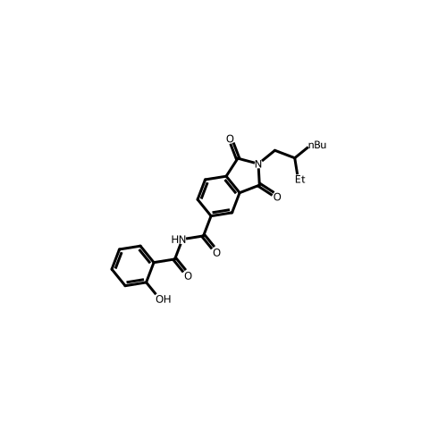 CCCCC(CC)CN1C(=O)c2ccc(C(=O)NC(=O)c3ccccc3O)cc2C1=O